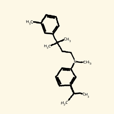 Cc1cccc(C(C)(C)CCN(C)c2cccc(C(C)C)c2)c1